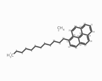 C.CCCCCCCCCCCCc1ccc2ccc3cccc4ccc1c2c34